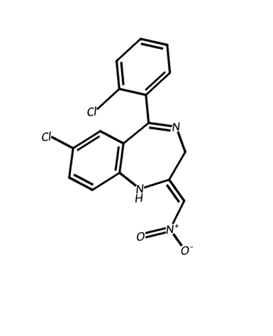 O=[N+]([O-])/C=C1/CN=C(c2ccccc2Cl)c2cc(Cl)ccc2N1